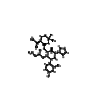 COC(=O)OC1=C(CN2CC(F)(F)CC[C@@H]2C(=O)O)NC(c2nccs2)=NC1c1ccc(F)cc1Cl